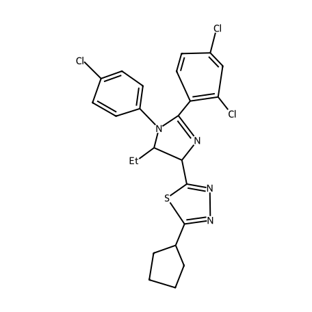 CCC1C(c2nnc(C3CCCC3)s2)N=C(c2ccc(Cl)cc2Cl)N1c1ccc(Cl)cc1